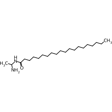 CCCCCCCCCCCCCCCCCCCC(=O)NC(C)N